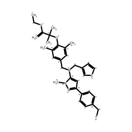 C=C(OCC)C(C)(C)Oc1c(C)cc(CN(Cc2ccsc2)c2cc(-c3ccc(CF)cc3)nn2C)cc1C